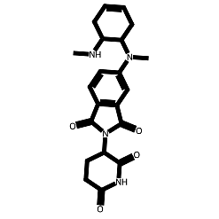 CNC1CC=CCC1N(C)c1ccc2c(c1)C(=O)N(C1CCC(=O)NC1=O)C2=O